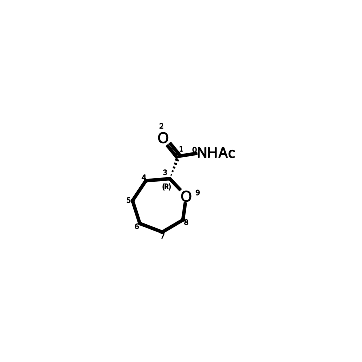 CC(=O)NC(=O)[C@H]1CCCCCO1